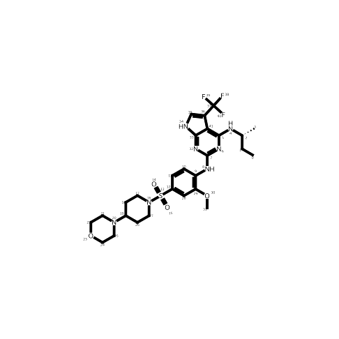 CC[C@@H](C)Nc1nc(Nc2ccc(S(=O)(=O)N3CCC(N4CCOCC4)CC3)cc2OC)nc2[nH]cc(C(F)(F)F)c12